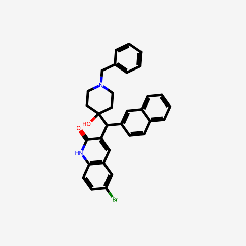 O=c1[nH]c2ccc(Br)cc2cc1C(c1ccc2ccccc2c1)C1(O)CCN(Cc2ccccc2)CC1